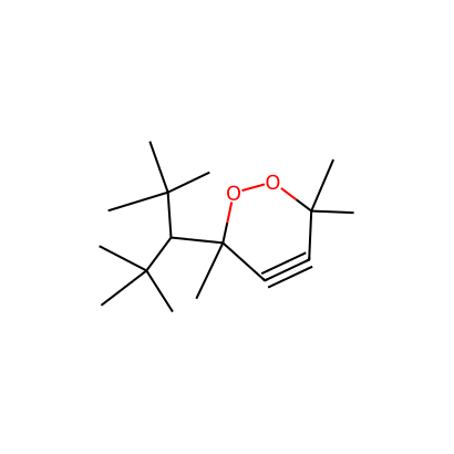 CC1(C)C#CC(C)(C(C(C)(C)C)C(C)(C)C)OO1